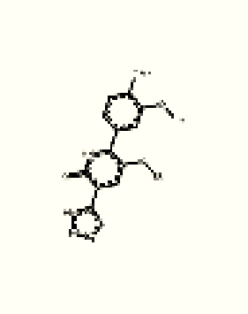 CCCOc1cc(-c2[nH]c(=O)c(-c3nnn[nH]3)cc2SCC)ccc1OC